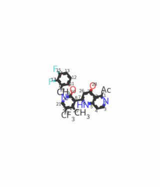 CC(=O)c1nccc2[nH]c(-c3c(Oc4ccc(F)c(F)c4C)ncc(C(F)(F)F)c3C)cc(=O)c12